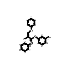 CC(=COc1ccccc1)C(=Nc1ccccc1)Sc1cccc(C)c1